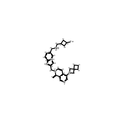 C=C1c2cncc(N3CC4(CCC4)C3)c2C=CN1Cc1cn2cc(CNCC3CC(F)C3)ccc2n1